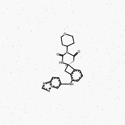 O=C1C[C@]2(Cc3c(Nc4ccc5ncnn5c4)cccc32)NC(=O)N1C1CCOCC1